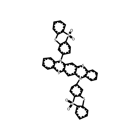 O=S1(=O)c2ccccc2Sc2cc(-n3c4ccccc4sc4cc5c(cc43)sc3ccccc3n5-c3ccc4c(c3)Sc3ccccc3S4(=O)=O)ccc21